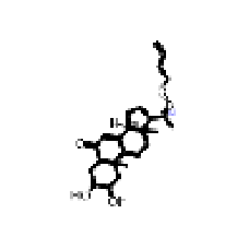 C=CCCO/N=C(/C)C1CC[C@H]2C3=CC(=O)C4CC(O)C(O)CC4(C)C3CCC12C